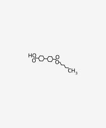 CCCCCCOC(=O)C1CCC(C2CCC(C(=O)O)CC2)CC1